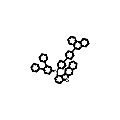 c1ccc(-c2ccc(N(c3ccc(-c4ccc(-c5cc6ccccc6c6ccccc56)cc4)cc3)c3cccc4sc5cc6ccccc6cc5c34)cc2-c2ccccc2)cc1